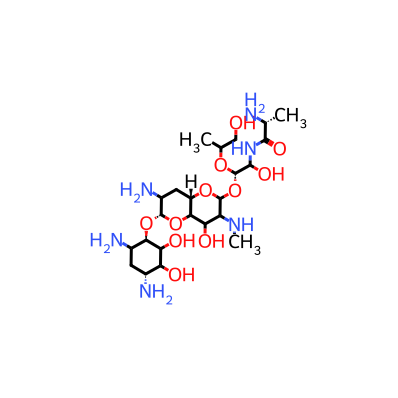 CNC1C(O[C@H](OC(C)CO)C(O)NC(=O)[C@@H](C)N)O[C@H]2CC(N)[C@@H](O[C@@H]3C(N)C[C@@H](N)C(O)C3O)OC2C1O